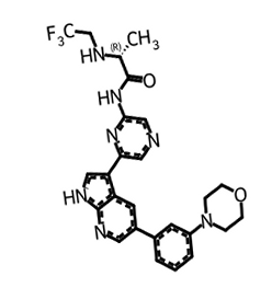 C[C@@H](NCC(F)(F)F)C(=O)Nc1cncc(-c2c[nH]c3ncc(-c4cccc(N5CCOCC5)c4)cc23)n1